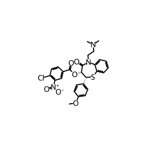 COc1ccc([C@H]2Sc3ccccc3N(CCN(C)C)C(=O)[C@H]2OC(=O)c2ccc(Cl)c([N+](=O)[O-])c2)cc1